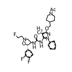 CC(=O)N1CCC(COc2nn(-c3ccccc3)c(NC(=O)N[C@@H]3CN(CCF)O[C@H]3c3ccc(F)c(F)c3)c2C)CC1